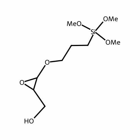 CO[Si](CCCOC1OC1CO)(OC)OC